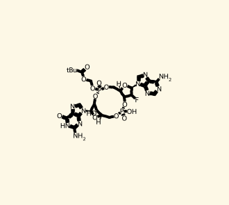 CC(C)(C)C(=O)OCOP1(=O)OC[C@H]2O[C@@H](n3cnc4c(N)ncnc43)C(F)C2OP(=O)(O)OC[C@H]2O[C@@H](n3cnc4c(=O)[nH]c(N)nc43)C(O1)C2O